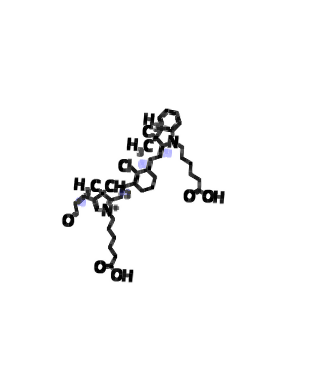 CC1(C)C(/C=C\C=O)=C[N+](CCCCCC(=O)O)=C1/C=C/C1=C(Cl)C(=C/C=C2/N(CCCCCC(=O)O)c3ccccc3C2(C)C)/CCC1